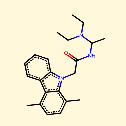 CCN(CC)C(C)NC(=O)Cn1c2ccccc2c2c(C)ccc(C)c21